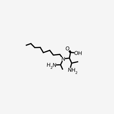 CCCCCCCCN(C(C)N)C(C(=O)O)C(C)N